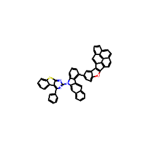 c1ccc(-c2nc(-n3c4cc5ccccc5cc4c4c(-c5ccc6oc7c(c6c5)-c5cc6cccc8ccc9ccc-7c5c9c86)cccc43)nc3sc4ccccc4c23)cc1